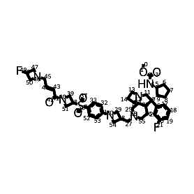 COC(=O)N[C@H]1CCC[C@@H]1C(CN1CCC1)(c1cccc(F)c1)C1CCN(CC2CN(c3ccc(S(=O)(=O)C4CN(C(=O)/C=C/CN5CC(F)C5)C4)cc3)C2)CC1